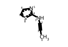 CC#CNc1nccs1